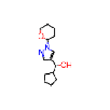 OC(c1cnn(C2CCCCO2)c1)C1CCCC1